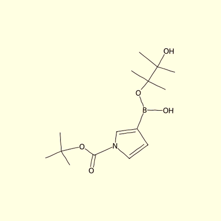 CC(C)(C)OC(=O)n1ccc(B(O)OC(C)(C)C(C)(C)O)c1